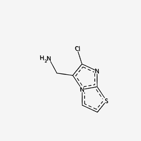 NCc1c(Cl)nc2sccn12